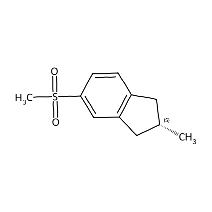 C[C@H]1Cc2ccc(S(C)(=O)=O)cc2C1